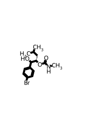 CNC(=O)O[C@@H](CC(C)C)C(O)c1ccc(Br)cc1